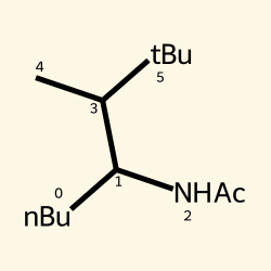 CCCCC(NC(C)=O)C(C)C(C)(C)C